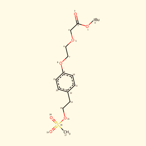 CC(C)(C)OC(=O)COCCOc1ccc(CCOS(C)(=O)=O)cc1